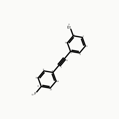 CCc1c[c]cc(C#Cc2ccc(F)cc2)c1